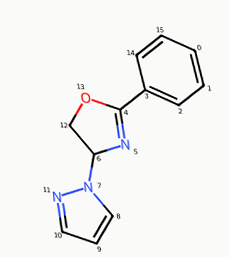 c1ccc(C2=NC(n3cccn3)CO2)cc1